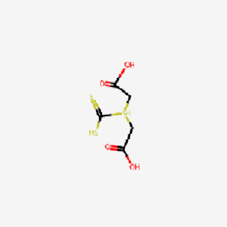 O=C(O)C[SH](CC(=O)O)C(=S)S